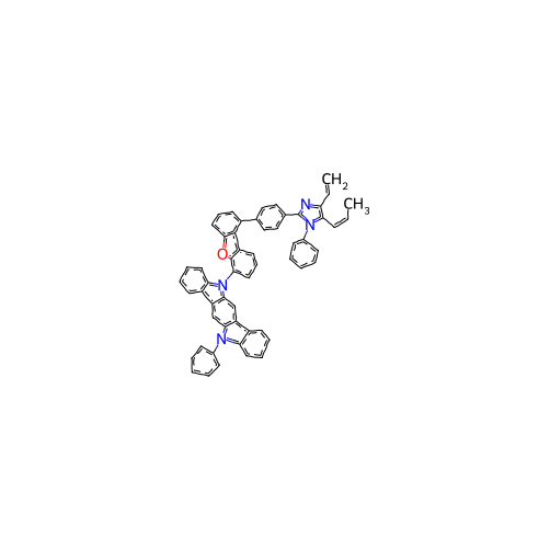 C=Cc1nc(-c2ccc(-c3cccc4oc5c(-n6c7ccccc7c7cc8c(cc76)c6ccccc6n8-c6ccccc6)cccc5c34)cc2)n(-c2ccccc2)c1/C=C\C